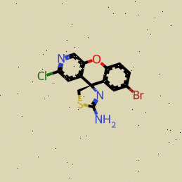 NC1=N[C@@]2(CS1)c1cc(Br)ccc1Oc1cnc(Cl)cc12